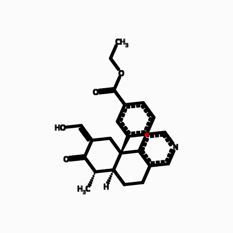 CCOC(=O)c1cccc([C@]23C/C(=C/O)C(=O)[C@@H](C)[C@@H]2CCc2cncnc23)c1